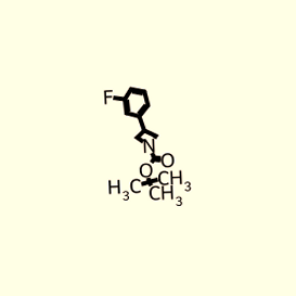 CC(C)(C)OC(=O)N1CC(c2cccc(F)c2)C1